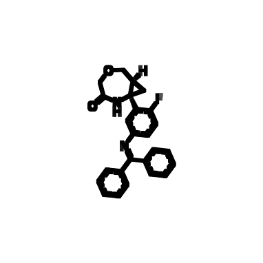 O=C1COC[C@@H]2C[C@]2(c2cc(N=C(c3ccccc3)c3ccccc3)ccc2F)N1